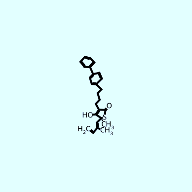 C=C/C(C)=C/[C@@]1(C)SC(=O)C(CCCCc2ccc(-c3ccccc3)cc2)=C1O